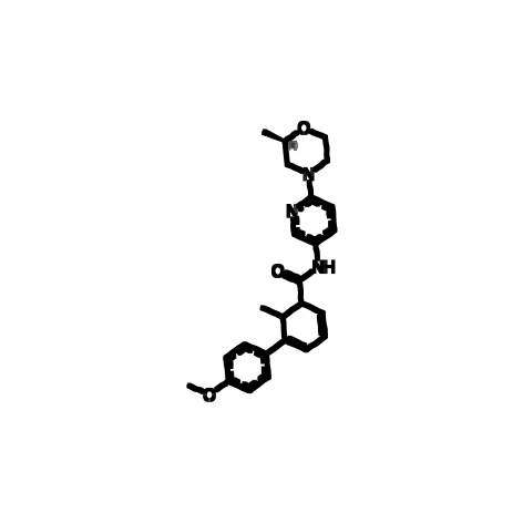 COc1ccc(C2=CC=CC(C(=O)Nc3ccc(N4CCO[C@H](C)C4)nc3)C2C)cc1